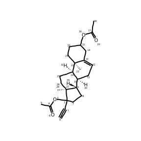 C#CC1(OC(C)=O)CC[C@H]2[C@@H]3CC=C4CC(OC(C)=O)CC[C@]4(C)[C@@H]3CC[C@@]21C